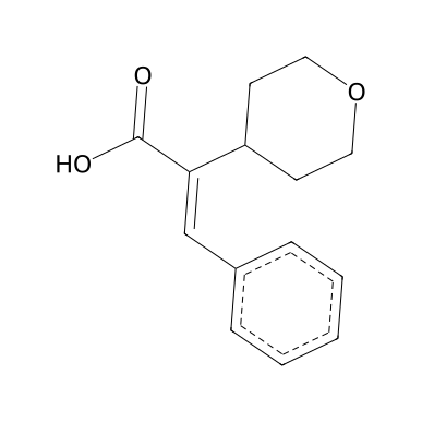 O=C(O)/C(=C/c1ccccc1)C1CCOCC1